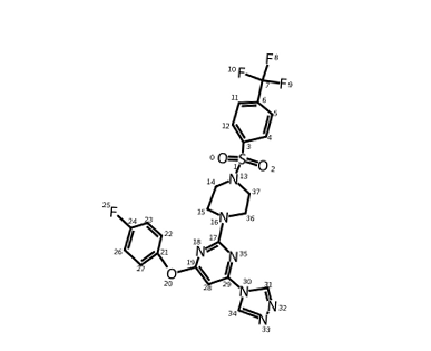 O=S(=O)(c1ccc(C(F)(F)F)cc1)N1CCN(c2nc(Oc3ccc(F)cc3)cc(-n3cnnc3)n2)CC1